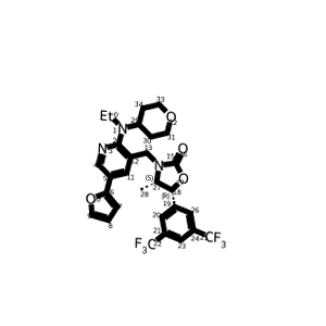 CCN(c1ncc(-c2ccco2)cc1CN1C(=O)O[C@H](c2cc(C(F)(F)F)cc(C(F)(F)F)c2)[C@@H]1C)C1CCOCC1